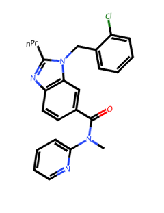 CCCc1nc2ccc(C(=O)N(C)c3ccccn3)cc2n1Cc1ccccc1Cl